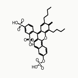 C=c1c(CCCC)cc2c(c1CCCC)Oc1c(ccc3cc(OS(=O)(=O)O)ccc13)C=2c1ccc(S(=O)(=O)O)cc1S(=O)(=O)O